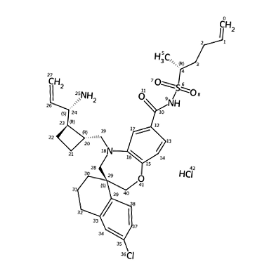 C=CCC[C@@H](C)S(=O)(=O)NC(=O)c1ccc2c(c1)N(C[C@@H]1CC[C@H]1[C@@H](N)C=C)C[C@@]1(CCCc3cc(Cl)ccc31)CO2.Cl